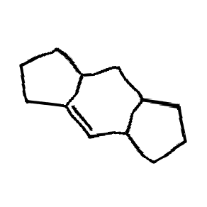 C1=C2CCCC2CC2CCCC12